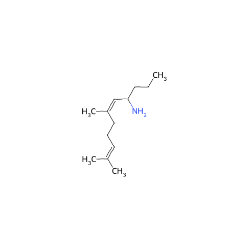 CCCC(N)C=C(C)CCC=C(C)C